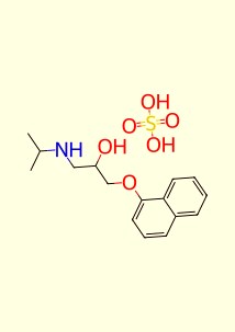 CC(C)NCC(O)COc1cccc2ccccc12.O=S(=O)(O)O